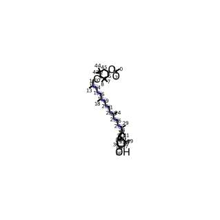 CC(=O)OC1CC(C)(C)C(=C=C/C(C)=C/C=C/C(C)=C/C=C/C=C(C)/C=C/C=C(\C)C2=C3[C@]4(C)C[C@@H](O)C[C@H](C)[C@]34C2)C(C)(C)C1